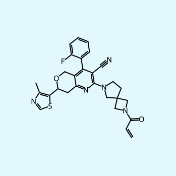 C=CC(=O)N1CC2(CCN(c3nc4c(c(-c5ccccc5F)c3C#N)COC(c3scnc3C)C4)C2)C1